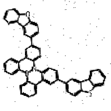 c1ccc2c(c1)B1c3ccccc3-c3cc(-c4ccc5sc6ccccc6c5c4)ccc3N1c1ccc(-c3ccc4oc5ccccc5c4c3)cc1-2